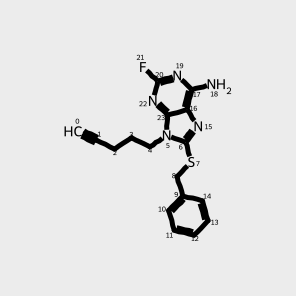 C#CCCCn1c(SCc2ccccc2)nc2c(N)nc(F)nc21